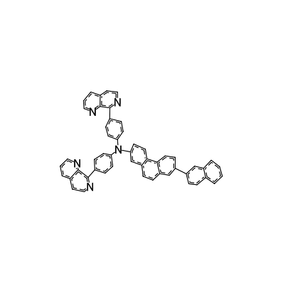 c1ccc2cc(-c3ccc4c(ccc5cc(N(c6ccc(-c7nccc8cccnc78)cc6)c6ccc(-c7nccc8cccnc78)cc6)ccc54)c3)ccc2c1